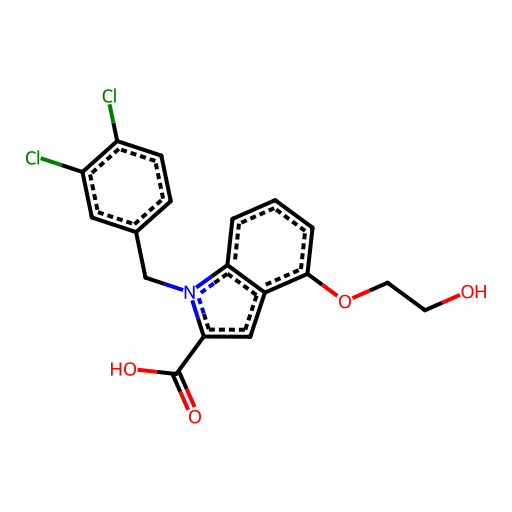 O=C(O)c1cc2c(OCCO)cccc2n1Cc1ccc(Cl)c(Cl)c1